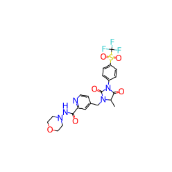 CC1C(=O)N(c2ccc(S(=O)(=O)C(F)(F)F)cc2)C(=O)N1Cc1ccnc(C(=O)NN2CCOCC2)c1